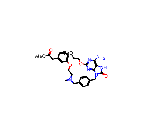 COCCOc1nc(N)c2[nH]c(=O)n(Cc3ccc(CN(C)CCOc4cccc(CC(=O)OC)c4)cc3)c2n1